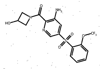 Nc1cc(S(=O)(=O)c2ccccc2OC(F)(F)F)cnc1C(=O)N1CC(O)C1